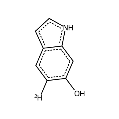 [2H]c1cc2cc[nH]c2cc1O